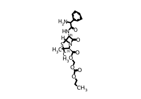 CCCOC(=O)OCOC(=O)[C@@H]1N2C(=O)[C@@H](NC(=O)C(N)c3ccccc3)[C@H]2SC1(C)C